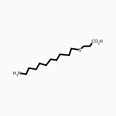 NCCCCCCCCCCSCCC(=O)O